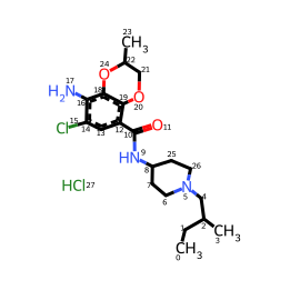 CCC(C)CN1CCC(NC(=O)c2cc(Cl)c(N)c3c2OCC(C)O3)CC1.Cl